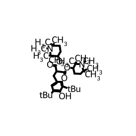 CN1C(C)(C)CCC(OC(=O)C(Cc2cc(C(C)(C)C)c(O)c(C(C)(C)C)c2)C(=O)OC2CCC(C)(C)N(C)C2(C)C)C1(C)C